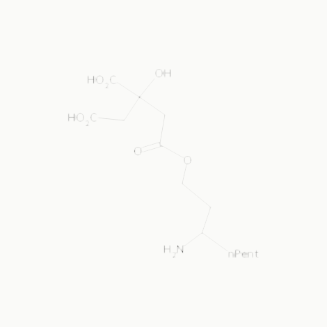 CCCCCC(N)CCOC(=O)CC(O)(CC(=O)O)C(=O)O